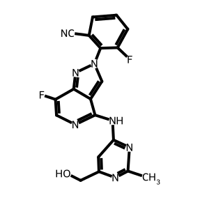 Cc1nc(CO)cc(Nc2ncc(F)c3nn(-c4c(F)cccc4C#N)cc23)n1